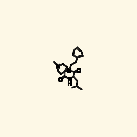 CC(C)CC1NC(=O)C2(CCN(C)CC2)N(CCc2ccccc2)C1=O